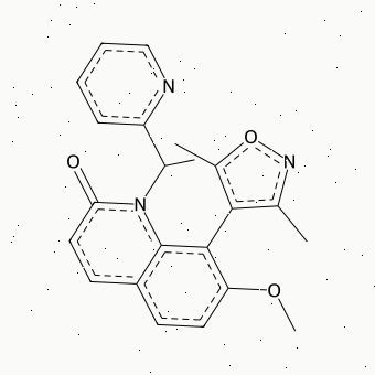 COc1ccc2ccc(=O)n(C(C)c3ccccn3)c2c1-c1c(C)noc1C